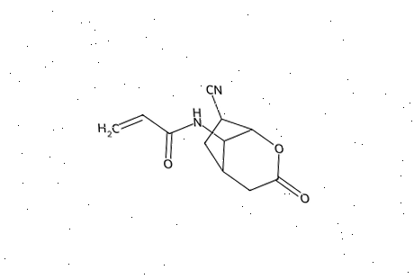 C=CC(=O)NC1C2CC(=O)OC1C(C#N)C2